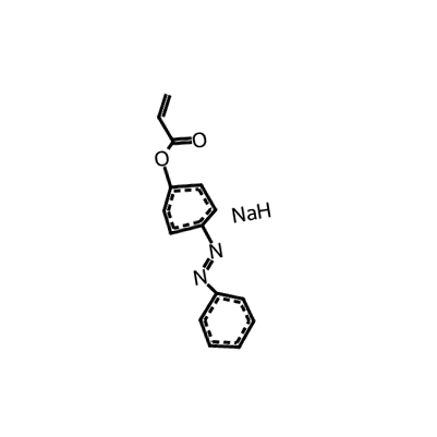 C=CC(=O)Oc1ccc(/N=N/c2ccccc2)cc1.[NaH]